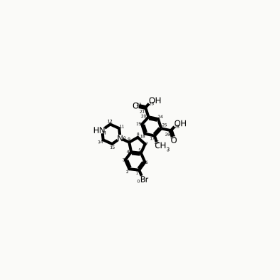 Brc1ccc2c(c1)CCC2N1CCNCC1.Cc1ccc(C(=O)O)cc1C(=O)O